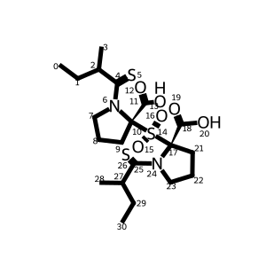 CCC(C)C(=S)N1CCC[C@@]1(C(=O)O)S(=O)(=O)[C@]1(C(=O)O)CCCN1C(=S)C(C)CC